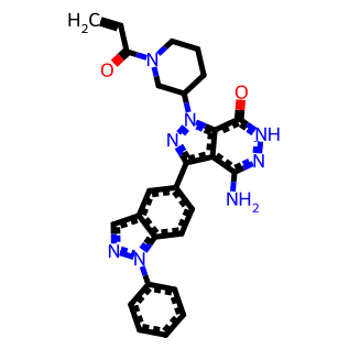 C=CC(=O)N1CCCC(n2nc(-c3ccc4c(cnn4-c4ccccc4)c3)c3c(N)n[nH]c(=O)c32)C1